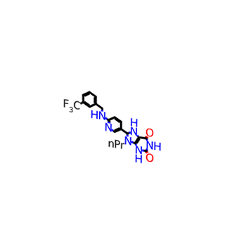 CCCN1c2[nH]c(=O)[nH]c(=O)c2NC1c1ccc(NCc2cccc(C(F)(F)F)c2)nc1